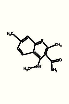 CNc1c(C(N)=O)c(C)nc2cc(C)ccc12